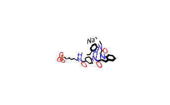 CCc1cccc(N(CC)C(=O)Cn2c(C(=O)NC3CCC(C(=O)NCCCCCCS(=O)(=O)[O-])CC3)cc3ccccc32)c1.[Na+]